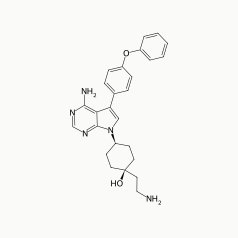 NCC[C@]1(O)CC[C@@H](n2cc(-c3ccc(Oc4ccccc4)cc3)c3c(N)ncnc32)CC1